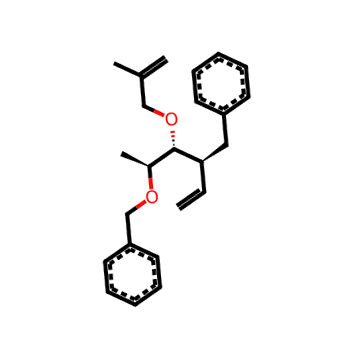 C=C[C@H](Cc1ccccc1)[C@@H](OCC(=C)C)[C@H](C)OCc1ccccc1